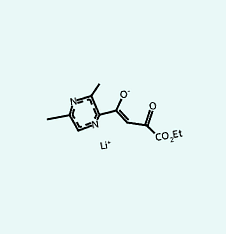 CCOC(=O)C(=O)C=C([O-])c1ncc(C)nc1C.[Li+]